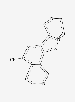 Clc1nc2c(nn3ccncc23)c2cnccc12